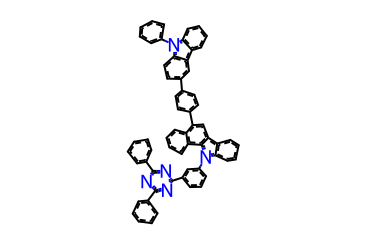 c1ccc(-c2nc(-c3ccccc3)nc(-c3cccc(-n4c5ccccc5c5cc(-c6ccc(-c7ccc8c(c7)c7ccccc7n8-c7ccccc7)cc6)c6ccccc6c54)c3)n2)cc1